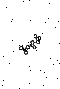 c1ccc(-n2c3ccccc3c3cc(-n4c5ccccc5c5c(-c6cccc7oc8ccccc8c67)cccc54)ccc32)cc1